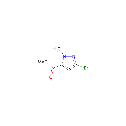 COC(=O)c1cc(Br)nn1C